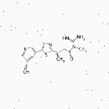 C#Cc1cncc(-c2cnc([C@H](C)CC(=O)N(C)C(=N)N)s2)c1